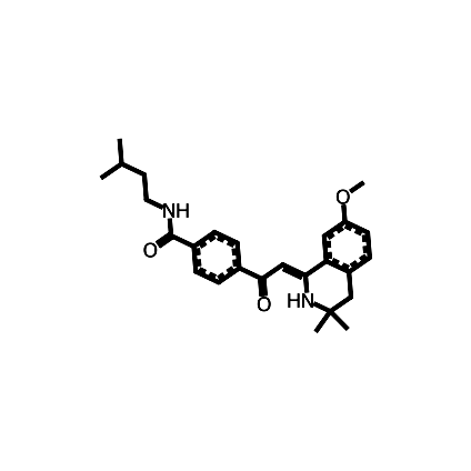 COc1ccc2c(c1)/C(=C/C(=O)c1ccc(C(=O)NCCC(C)C)cc1)NC(C)(C)C2